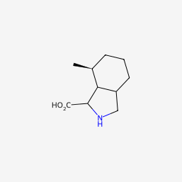 C[C@H]1CCCC2CNC(C(=O)O)C21